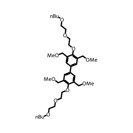 CCCCOCCOCCOc1c(COC)cc(-c2cc(COC)c(OCCOCCOCCCC)c(COC)c2)cc1COC